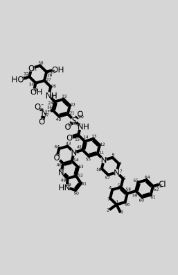 CC1(C)CCC(CN2CCN(c3ccc(C(=O)NS(=O)(=O)c4ccc(NCC5C(O)COC(O)C5O)c([N+](=O)[O-])c4)c(N4CCOc5nc6[nH]ccc6cc54)c3)CC2)=C(c2ccc(Cl)cc2)C1